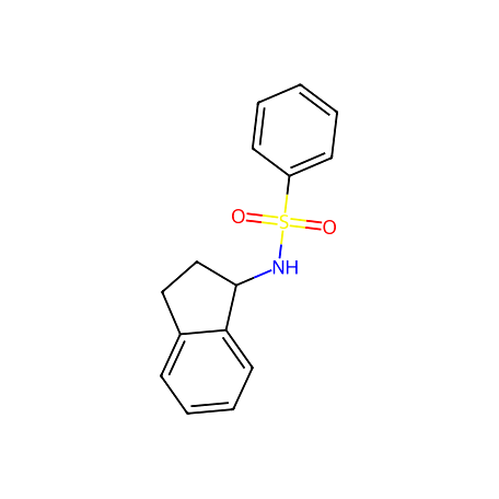 O=S(=O)(NC1CCc2ccccc21)c1ccccc1